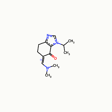 CC(C)n1cnc2c1C(=O)/C(=C\N(C)C)CC2